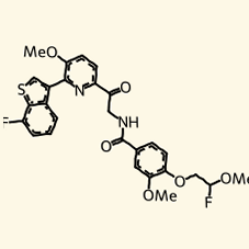 COc1cc(C(=O)NCC(=O)c2ccc(OC)c(-c3csc4c(F)cccc34)n2)ccc1OCC(F)OC